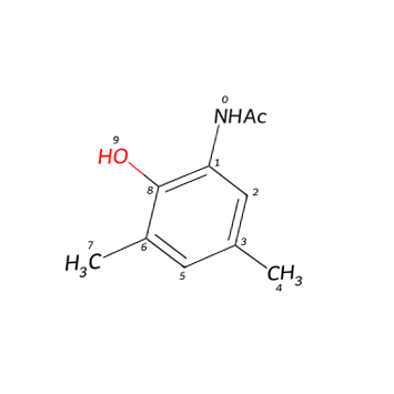 CC(=O)Nc1cc(C)cc(C)c1O